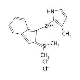 Cc1cc[nH][c]1[Zr+2][C]1=c2ccccc2=CC1=[Si](C)C.[Cl-].[Cl-]